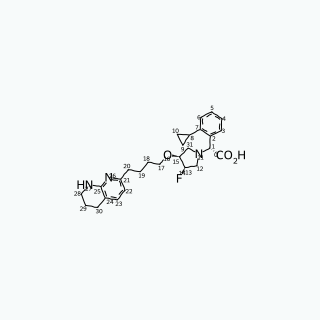 O=C(O)[C@@H](c1ccccc1C1CC1)N1C[C@@H](F)[C@@H](OCCCCc2ccc3c(n2)NCCC3)C1